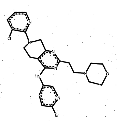 Clc1cccnc1N1CCc2c(nc(CCN3CCOCC3)nc2Nc2ccc(Br)nc2)C1